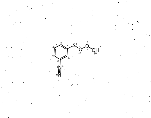 N#[N+]c1cccc(SOOO)c1